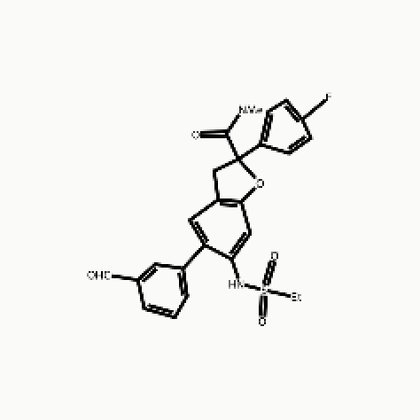 CCS(=O)(=O)Nc1cc2c(cc1-c1cccc(C=O)c1)CC(C(=O)NC)(c1ccc(F)cc1)O2